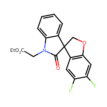 CCOC(=O)CN1C(=O)C2(COc3cc(F)c(F)cc32)c2ccccc21